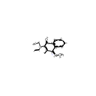 C=CN(CC(C)CC)C1=C(C)/C(=N/O)c2ccccc2C1=O